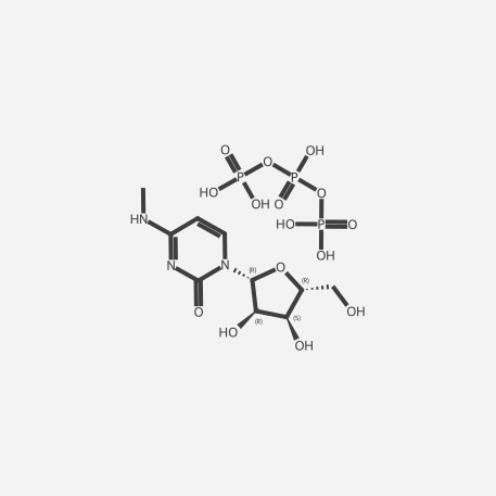 CNc1ccn([C@@H]2O[C@H](CO)[C@@H](O)[C@H]2O)c(=O)n1.O=P(O)(O)OP(=O)(O)OP(=O)(O)O